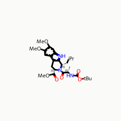 COC(=O)[C@@H]1Cc2c([nH]c3cc(OC)c(OC)cc23)[C@H](CC(C)C)N1C(=O)[C@H](C)NC(=O)OC(C)(C)C